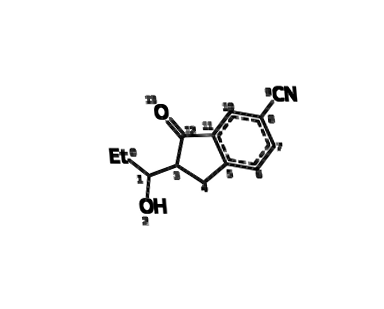 CCC(O)C1Cc2ccc(C#N)cc2C1=O